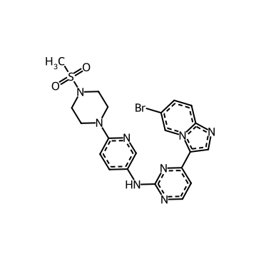 CS(=O)(=O)N1CCN(c2ccc(Nc3nccc(-c4cnc5ccc(Br)cn45)n3)cn2)CC1